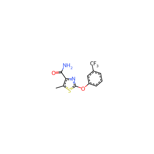 Cc1sc(Oc2cccc(C(F)(F)F)c2)nc1C(N)=O